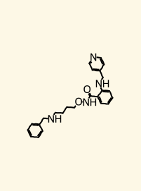 O=C(NOCCCCNCc1ccccc1)c1ccccc1NCc1ccncc1